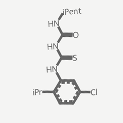 CCCC(C)NC(=O)NC(=S)Nc1cc(Cl)ccc1C(C)C